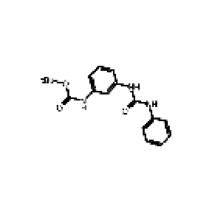 CC(C)(C)OC(=O)Nc1cccc(NC(=O)Nc2ccccc2)c1